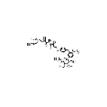 C#CCN(C)CCNC(=O)C1(NC(=O)CCOc2ccc(Cc3cc([C@@H]4O[C@H](SC)[C@@H](O)[C@H](O)[C@H]4O)ccc3C)cc2)CC1